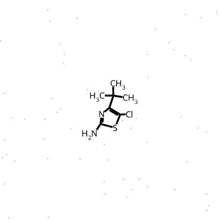 CC(C)(C)c1nc(N)sc1Cl